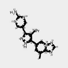 Cc1cc(-c2[nH]nc(-c3cnc(N)nc3)c2C(C)C)cn2ncnc12